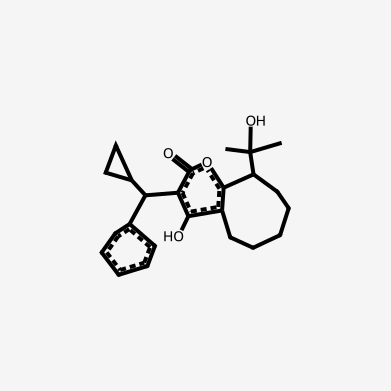 CC(C)(O)C1CCCCCc2c1oc(=O)c(C(c1ccccc1)C1CC1)c2O